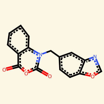 O=c1oc(=O)n(Cc2ccc3ocnc3c2)c2ccccc12